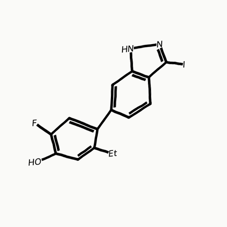 CCc1cc(O)c(F)cc1-c1ccc2c(I)n[nH]c2c1